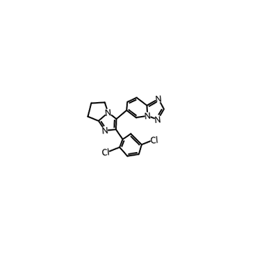 Clc1ccc(Cl)c(-c2nc3n(c2-c2ccc4ncnn4c2)CCC3)c1